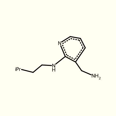 CC(C)CCNc1ncccc1CN